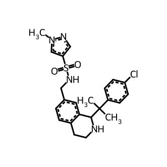 Cn1cc(S(=O)(=O)NCc2ccc3c(c2)C(C(C)(C)c2ccc(Cl)cc2)NCC3)cn1